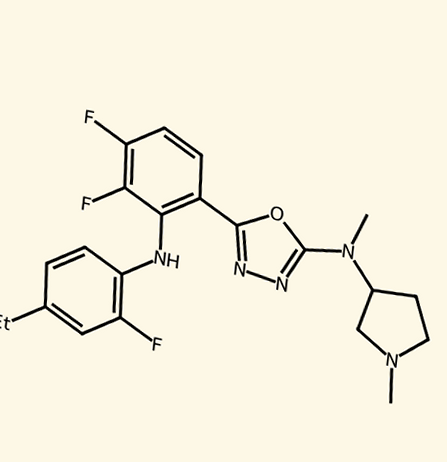 CCc1ccc(Nc2c(-c3nnc(N(C)C4CCN(C)C4)o3)ccc(F)c2F)c(F)c1